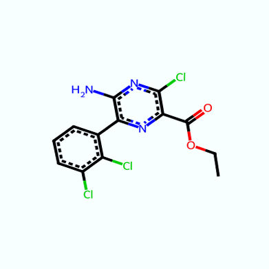 CCOC(=O)c1nc(-c2cccc(Cl)c2Cl)c(N)nc1Cl